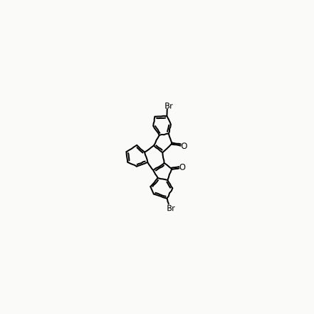 O=c1c2cc(Br)ccc2c2c3ccccc3c3c4ccc(Br)cc4c(=O)c3c12